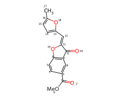 COC(=O)c1ccc2c(c1)C(=O)/C(=C/c1ccc(C)o1)O2